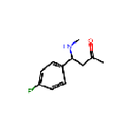 CNC([CH]C(C)=O)c1ccc(F)cc1